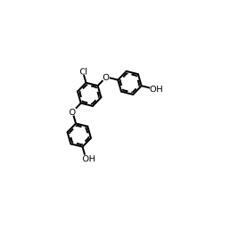 Oc1ccc(Oc2ccc(Oc3ccc(O)cc3)c(Cl)c2)cc1